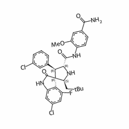 COc1cc(C(N)=O)ccc1NC(=O)[C@@H]1N[C@@H](CC(C)(C)C)[C@@]2(C(=O)Nc3cc(Cl)cc(F)c32)[C@H]1c1cccc(Cl)c1